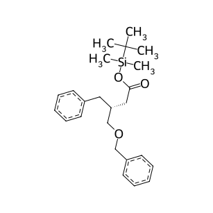 CC(C)(C)[Si](C)(C)OC(=O)C[C@H](COCc1ccccc1)Cc1ccccc1